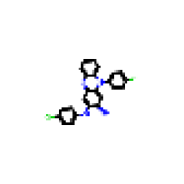 N=c1cc2n(-c3ccc(Cl)cc3)c3ccccc3nc-2cc1Nc1ccc(Cl)cc1